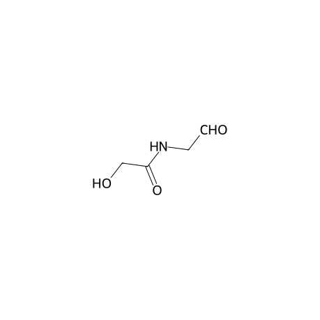 O=CCNC(=O)CO